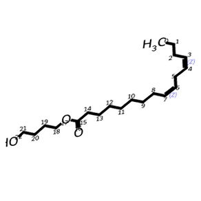 CCC/C=C\C/C=C\CCCCCCCC(=O)OCCCCO